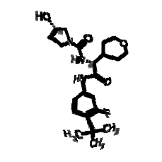 CC(C)(C)c1ccc(NC(=O)[C@H](NC(=O)N2CC[C@H](O)C2)C2CCOCC2)cc1F